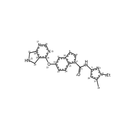 CCn1nc(NC(=O)n2ccc3cc(Oc4ncnc5c4CNC5)ccc32)cc1C